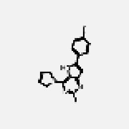 Cc1nc(N2CC=CC2)c2[nH]c(-c3ccc(F)cc3)cc2n1